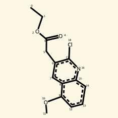 CCOC(=O)Cc1cc2c(OC)cccc2nc1Cl